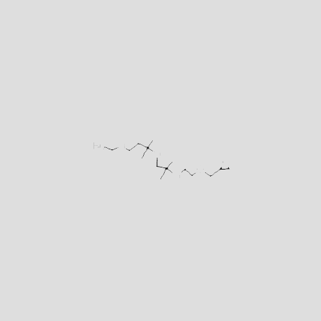 CCC(C)COCCC(C)(C)OCC(C)(C)OCCOCC1CO1